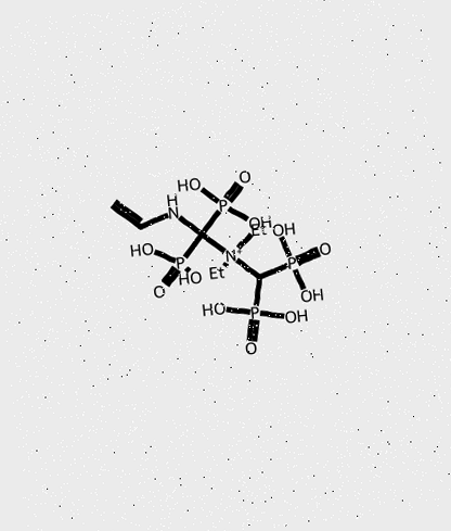 C=CNC([N+](CC)(CC)C(P(=O)(O)O)P(=O)(O)O)(P(=O)(O)O)P(=O)(O)O